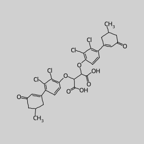 CC1CC(=O)C=C(c2ccc(OC(C(=O)O)C(Oc3ccc(C4=CC(=O)CC(C)C4)c(Cl)c3Cl)C(=O)O)c(Cl)c2Cl)C1